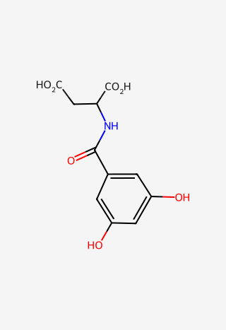 O=C(O)CC(NC(=O)c1cc(O)cc(O)c1)C(=O)O